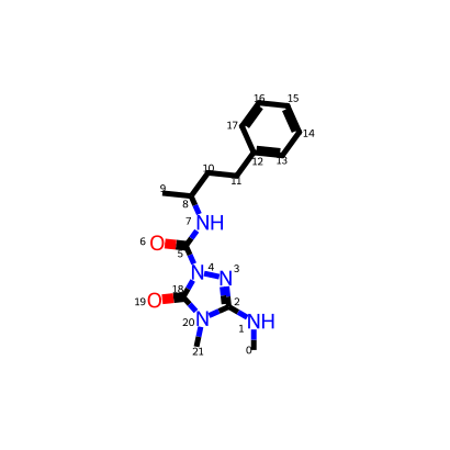 CNc1nn(C(=O)NC(C)CCc2ccccc2)c(=O)n1C